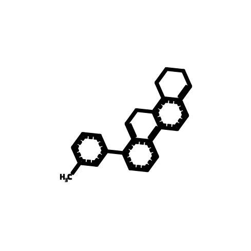 Cc1cccc(-c2cccc3c2=CCc2c4c(ccc2=3)=CCCC4)c1